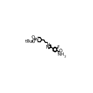 CC(C)(C)OC(=O)N1CCC(CCCn2cc(-c3ccc(C(N)=O)c(F)c3)cn2)CC1